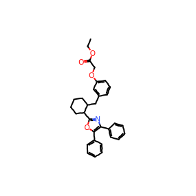 CCOC(=O)COc1cccc(CC2CCCCC2c2nc(-c3ccccc3)c(-c3ccccc3)o2)c1